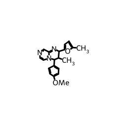 COc1ccc(C2C(C)C(c3ccc(C)o3)N=C3C=NC=CN32)cc1